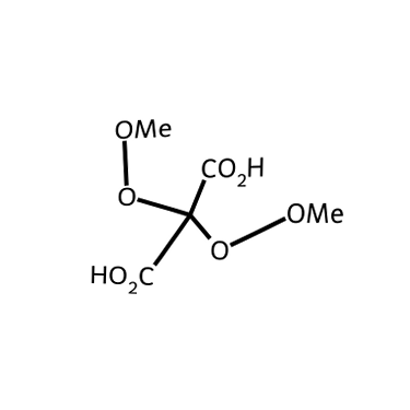 COOC(OOC)(C(=O)O)C(=O)O